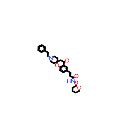 O=C(/C=C/c1ccc2c(c1)C(=O)CC1(CCN(CCc3ccccc3)CC1)O2)NOC1CCCCO1